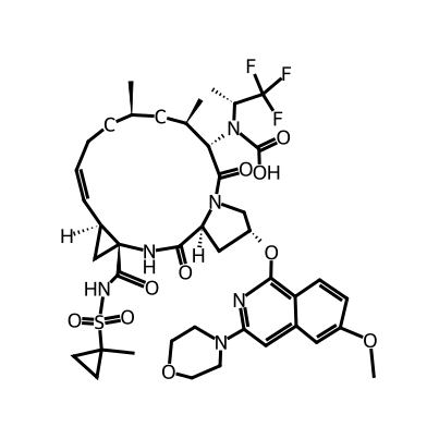 COc1ccc2c(O[C@@H]3C[C@H]4C(=O)N[C@]5(C(=O)NS(=O)(=O)C6(C)CC6)C[C@H]5C=CCC[C@@H](C)C[C@@H](C)[C@H](N(C(=O)O)[C@H](C)C(F)(F)F)C(=O)N4C3)nc(N3CCOCC3)cc2c1